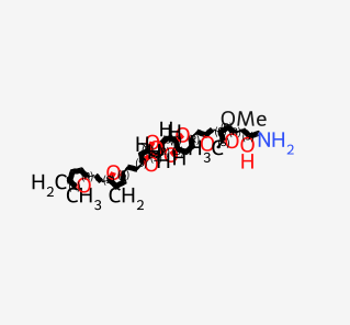 C=C1C[C@H](CC[C@@]23C[C@H]4OC5[C@@H](O[C@H]6CC[C@H](CC(=O)C[C@@H]7[C@@H](OC)[C@@H](C[C@H](O)CN)O[C@H]7C)O[C@@H]6[C@@H]5O2)[C@H]4O3)O[C@H]1CC[C@H]1CCC(=C)[C@@H](C)O1